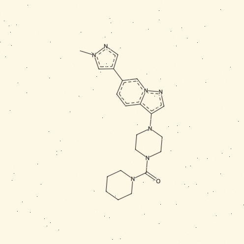 Cn1cc(-c2ccc3c(N4CCN(C(=O)N5CCCCC5)CC4)cnn3c2)cn1